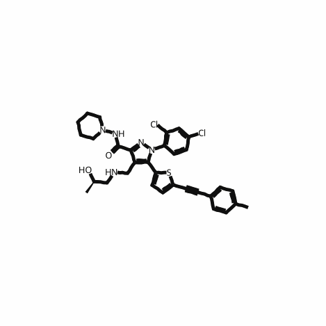 Cc1ccc(C#Cc2ccc(-c3c(CNC[C@@H](C)O)c(C(=O)NN4CCCCC4)nn3-c3ccc(Cl)cc3Cl)s2)cc1